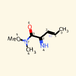 C/C=C/C(=N)C(=O)N(C)OC